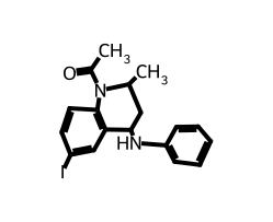 CC(=O)N1c2ccc(I)cc2C(Nc2ccccc2)CC1C